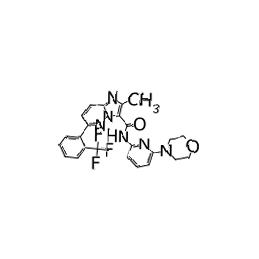 Cc1nc2ccc(-c3ccccc3C(F)(F)F)nn2c1C(=O)Nc1cccc(N2CCOCC2)n1